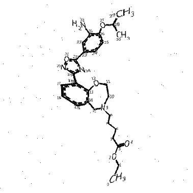 CCOC(=O)CCCCN1CCOc2c(cccc2-c2noc(-c3ccc(OC(C)C)c(N)c3)n2)C1